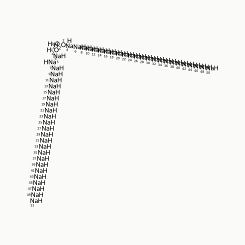 O.O.O.[NaH].[NaH].[NaH].[NaH].[NaH].[NaH].[NaH].[NaH].[NaH].[NaH].[NaH].[NaH].[NaH].[NaH].[NaH].[NaH].[NaH].[NaH].[NaH].[NaH].[NaH].[NaH].[NaH].[NaH].[NaH].[NaH].[NaH].[NaH].[NaH].[NaH].[NaH].[NaH].[NaH].[NaH].[NaH].[NaH].[NaH].[NaH].[NaH].[NaH].[NaH].[NaH].[NaH].[NaH].[NaH].[NaH].[NaH].[NaH].[NaH]